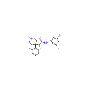 Cc1ccccc1C1(C(C)C(=O)NCc2cc(Br)cc(Br)c2)CCN(C)CC1